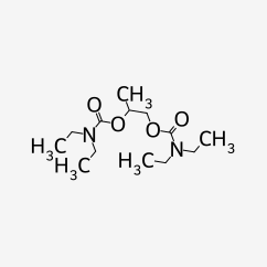 CCN(CC)C(=O)OCC(C)OC(=O)N(CC)CC